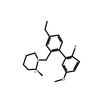 CCc1ccc(-c2cc(OC)ccc2F)c(CN2CCCC[C@@H]2C)c1